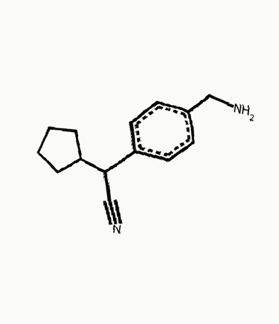 N#CC(c1ccc(CN)cc1)C1CCCC1